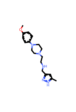 COc1ccc(N2CCN(CCNCc3cc(C)[nH]n3)CC2)cc1